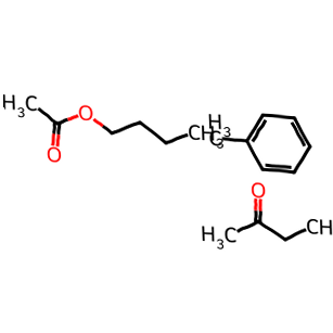 CCC(C)=O.CCCCOC(C)=O.Cc1ccccc1